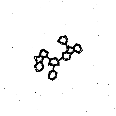 c1ccc(-c2nc(-c3ccc4c5ccccc5n(-c5ccccc5)c4c3)cc(-c3cccc4oc5ccccc5c34)n2)cc1